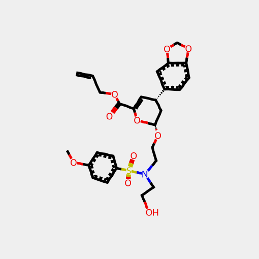 C=CCOC(=O)C1=C[C@H](c2ccc3c(c2)OCO3)C[C@H](OCCN(CCO)S(=O)(=O)c2ccc(OC)cc2)O1